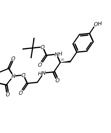 CC(C)(C)OC(=O)N[C@@H](Cc1ccc(O)cc1)C(=O)NCC(=O)ON1C(=O)CCC1=O